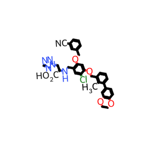 Cc1c(COc2cc(OCc3cccc(C#N)c3)c(CNC(Cn3ncnn3)C(=O)O)cc2Cl)cccc1-c1ccc2c(c1)OCCO2